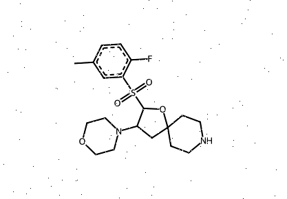 Cc1ccc(F)c(S(=O)(=O)C2OC3(CCNCC3)CC2N2CCOCC2)c1